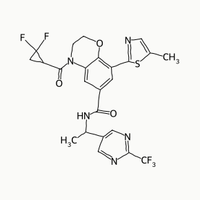 Cc1cnc(-c2cc(C(=O)NC(C)c3cnc(C(F)(F)F)nc3)cc3c2OCCN3C(=O)C2CC2(F)F)s1